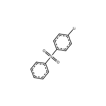 [Li][c]1ccc(S(=O)(=O)c2ccccc2)cc1